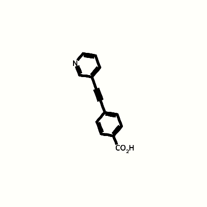 O=C(O)c1ccc(C#Cc2cccnc2)cc1